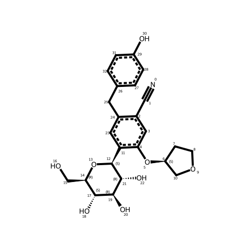 N#Cc1cc(O[C@H]2CCOC2)c([C@@H]2O[C@H](CO)[C@@H](O)[C@H](O)[C@H]2O)cc1Cc1ccc(O)cc1